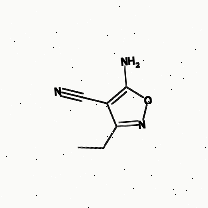 CCc1noc(N)c1C#N